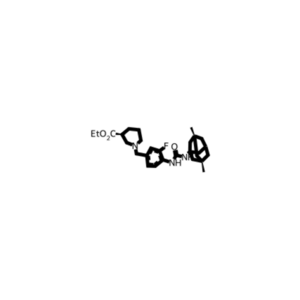 CCOC(=O)[C@H]1CCCN(Cc2ccc(NC(=O)NC34CC5C[C@@](C)(C3)C[C@](C)(C5)C4)c(F)c2)C1